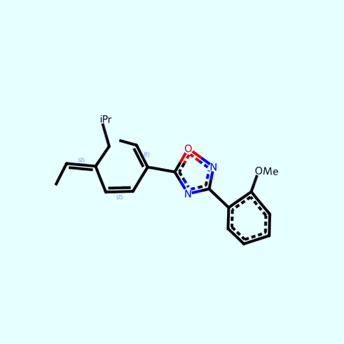 C\C=C(/C=C\C(=C/C)c1nc(-c2ccccc2OC)no1)CC(C)C